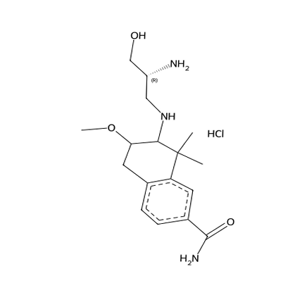 COC1Cc2ccc(C(N)=O)cc2C(C)(C)C1NC[C@@H](N)CO.Cl